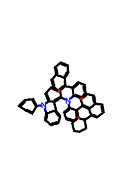 c1ccc(-n2c3ccccc3c3c(N(c4ccccc4-c4cccc5ccccc45)c4ccccc4-c4cccc5cccc(C6CCCCC6)c45)cccc32)cc1